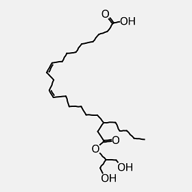 CCCCCC(CCCCC/C=C\C/C=C\CCCCCCCC(=O)O)CC(=O)OC(CO)CO